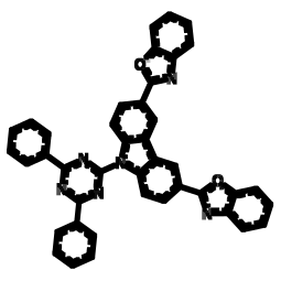 c1ccc(-c2nc(-c3ccccc3)nc(-n3c4ccc(-c5nc6ccccc6o5)cc4c4cc(-c5nc6ccccc6o5)ccc43)n2)cc1